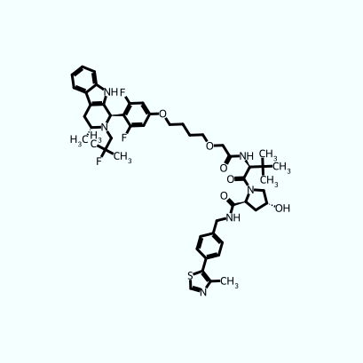 Cc1ncsc1-c1ccc(CNC(=O)[C@@H]2C[C@@H](O)CN2C(=O)[C@@H](NC(=O)COCCCCOc2cc(F)c([C@@H]3c4[nH]c5ccccc5c4C[C@@H](C)N3CC(C)(C)F)c(F)c2)C(C)(C)C)cc1